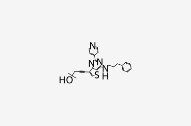 CC(C)(O)CC#Cc1csc2c(NCCCc3ccccc3)nc(-c3ccncc3)nc12